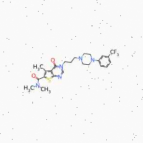 Cc1c(C(=O)N(C)C)sc2ncn(CCCN3CCN(c4cccc(C(F)(F)F)c4)CC3)c(=O)c12